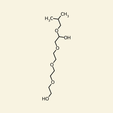 CC(C)COC(O)COCCOCCOCCO